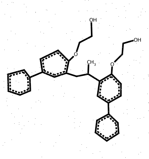 CC(Cc1cc(-c2ccccc2)ccc1OCCO)c1cc(-c2ccccc2)ccc1OCCO